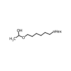 CCCCCCCCCCCCOC(C)O